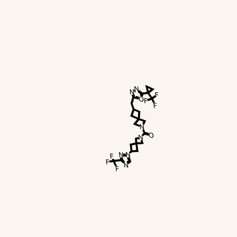 O=C(N1CC2(CC(Cc3nnc(C4(C(F)(F)F)CC4)o3)C2)C1)N1CC2(CC(n3cnc(C(F)(F)F)n3)C2)C1